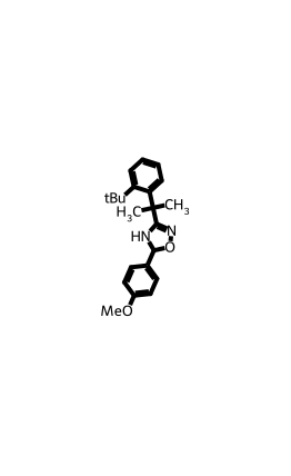 COc1ccc(C2NC(C(C)(C)c3ccccc3C(C)(C)C)=NO2)cc1